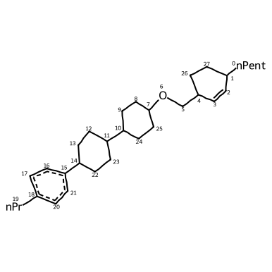 CCCCCC1C=CC(COC2CCC(C3CCC(c4ccc(CCC)cc4)CC3)CC2)CC1